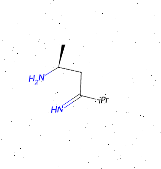 CC(C)C(=N)C[C@H](C)N